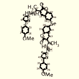 COc1ccc(-c2csc(NNC(C)c3cc4cc([Se]c5ccc6oc(=O)c(C(C)NNc7nc(-c8ccc(OC)cc8)cs7)cc6c5)ccc4oc3=O)n2)cc1